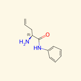 C=CC[C@H](N)C(=O)Nc1ccccc1